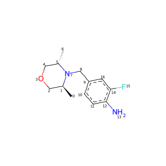 C[C@H]1COC[C@H](C)N1Cc1ccc(N)c(F)c1